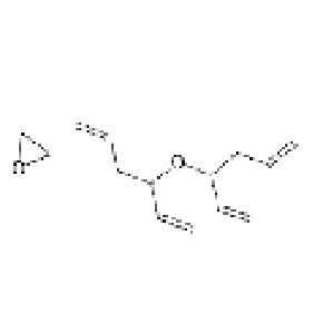 C1CO1.C=CCC(C=C)OC(C=C)CC=C